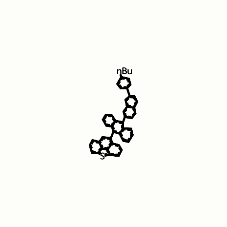 CCCCc1ccc(-c2ccc3ccc(-c4c5ccccc5c(-c5cc6cccc7sc8cccc5c8c67)c5ccccc45)cc3c2)cc1